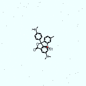 CCNc1cc(C)ccc1C1(c2ccc(N(C)C)cc2)OC(=O)c2cc(N(C)C)ccc21